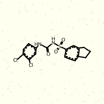 O=C(Nc1ccc(Cl)c(Cl)c1)NS(=O)(=O)c1ccc2c(c1)CCC2